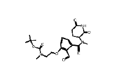 CN(CCOc1cccc(C(=O)N(C)C2CCC(=O)NC2=O)c1C=O)C(=O)OC(C)(C)C